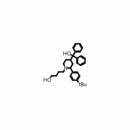 CC(C)(C)c1ccc(C2CC(C(O)(c3ccccc3)c3ccccc3)CCN2CCCCO)cc1